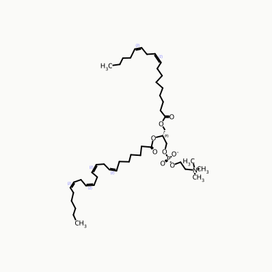 CCCC/C=C\C/C=C\CCCCCCCC(=O)OC[C@H](COP(=O)([O-])OCC[N+](C)(C)C)OC(=O)CCCCC/C=C\C/C=C\C/C=C\C/C=C\CCCCC